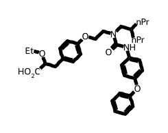 CCCC(CCC)CN(CCOc1ccc(CC(OCC)C(=O)O)cc1)C(=O)Nc1ccc(Oc2ccccc2)cc1